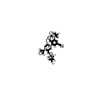 CC(C)(C)N(C(=O)O)c1cc(C#N)cc(N2CCN(C3COC3)C(CO[Si](C)(C)C(C)(C)C)C2)c1Cl